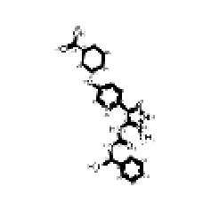 CC(OC(=O)Nc1c(-c2ccc(O[C@H]3CCC[C@H](C(=O)O)C3)cn2)nnn1C)c1ccccc1